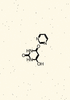 O=c1cc(O)[nH]c(=O)[nH]1.c1cncnc1